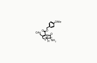 COc1ccc(COC(=O)C2=C(COC(C)=O)CS[C@H]3[C@H](N)C(=O)N23)cc1